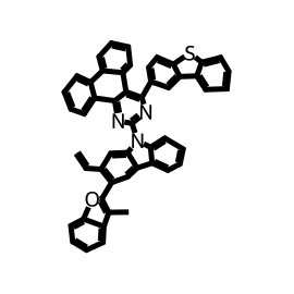 C=Cc1cc2c(cc1-c1oc3ccccc3c1C)c1ccccc1n2-c1nc(-c2ccc3sc4ccccc4c3c2)c2c3ccccc3c3ccccc3c2n1